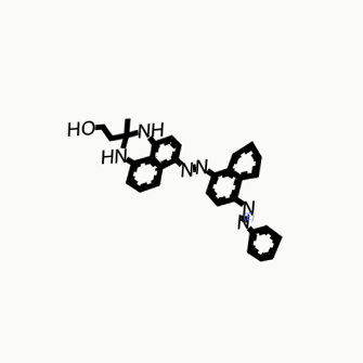 CC1(CCO)Nc2cccc3c(N=Nc4ccc(/N=N/c5ccccc5)c5ccccc45)ccc(c23)N1